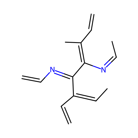 C=C/N=C(C(\C=C)=C/C)/C(/N=C\C)=C(\C)C=C